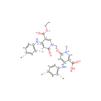 CCOC(=O)c1cn(C)c(=O)cc1Nc1ccc(F)cc1F.Cn1cc(C(=O)O)c(Nc2ccc(F)cc2F)cc1=O